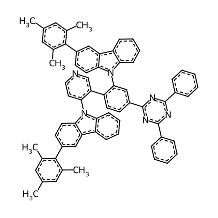 Cc1cc(C)c(-c2ccc3c(c2)c2ccccc2n3-c2ccncc2-c2ccc(-c3nc(-c4ccccc4)nc(-c4ccccc4)n3)cc2-n2c3ccccc3c3cc(-c4c(C)cc(C)cc4C)ccc32)c(C)c1